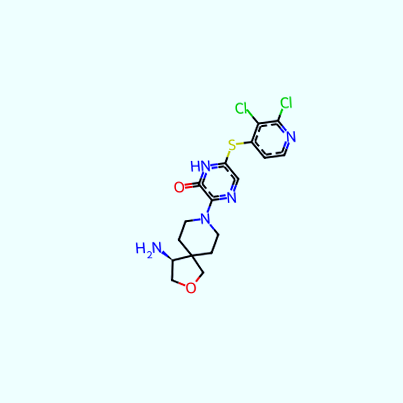 N[C@@H]1COCC12CCN(c1ncc(Sc3ccnc(Cl)c3Cl)[nH]c1=O)CC2